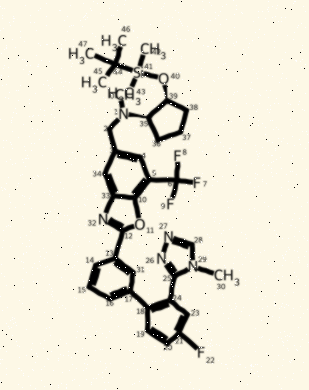 CN(Cc1cc(C(F)(F)F)c2oc(-c3cccc(-c4ccc(F)cc4-c4nncn4C)c3)nc2c1)[C@@H]1CCC[C@@H]1O[Si](C)(C)C(C)(C)C